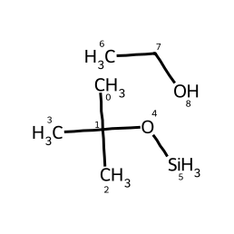 CC(C)(C)O[SiH3].CCO